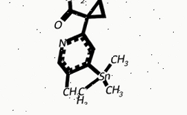 Cc1cnc(C2(C(N)=O)CC2)c[c]1[Sn]([CH3])([CH3])[CH3]